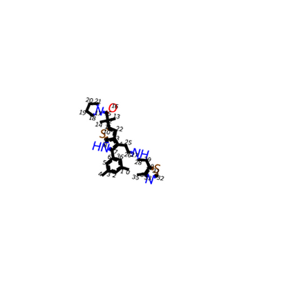 Cc1cc(C)cc(-c2[nH]c3sc(C(C)(C)C(=O)N4CCCC4)cc3c2CCNCCc2scnc2C)c1